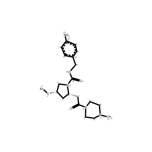 CC(=O)S[C@H]1C[C@@H](CC(=O)N2CCN(C)CC2)N(C(=O)OCc2ccc([N+](=O)[O-])cc2)C1